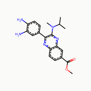 COC(=O)c1ccc2nc(-c3ccc(N)c(N)c3)c(N(C)C(C)C)nc2c1